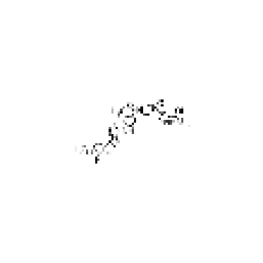 COc1ccc(-c2cnc3c(Nc4ccc(C(=O)N5CCN(C(=O)N6CCN[C@@H]([C@@H](C)O)C6)CC5)c(C)c4)nccn23)c(F)c1F